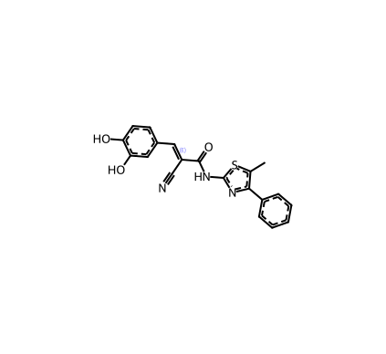 Cc1sc(NC(=O)/C(C#N)=C/c2ccc(O)c(O)c2)nc1-c1ccccc1